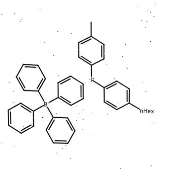 CCCCCCc1ccc([I+]c2ccc(C)cc2)cc1.c1ccc([B-](c2ccccc2)(c2ccccc2)c2ccccc2)cc1